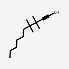 CCCCCCC(C)(C)C(C)(C)C#CO